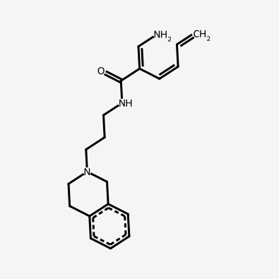 C=C/C=C\C(=C/N)C(=O)NCCCN1CCc2ccccc2C1